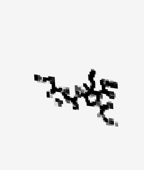 C=CC[C@]1(C)[C@@H](NC(=O)[C@@H](NC(=O)OC(C)(C)C)C(C)C)CN(C(=O)OC(C)(C)C)[C@@H]1C(=O)OC